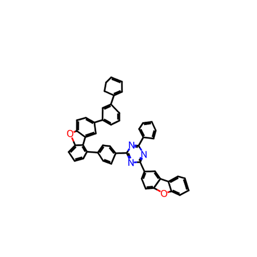 C1=CCCC(c2cccc(-c3ccc4oc5cccc(-c6ccc(-c7nc(-c8ccccc8)nc(-c8ccc9oc%10ccccc%10c9c8)n7)cc6)c5c4c3)c2)=C1